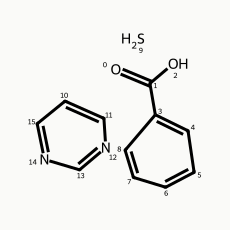 O=C(O)c1ccccc1.S.c1cncnc1